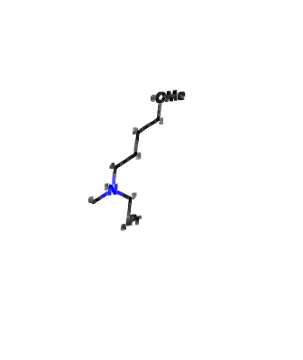 COCCCCN(C)CC(C)C